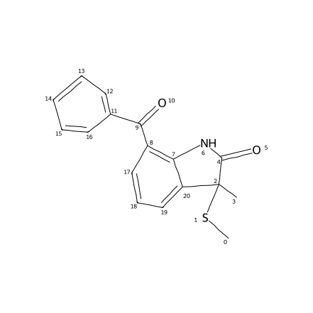 CSC1(C)C(=O)Nc2c(C(=O)c3ccccc3)cccc21